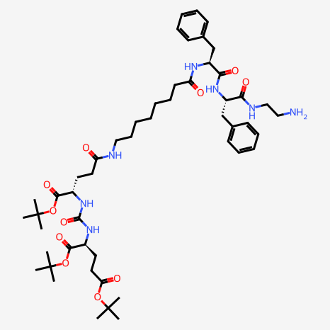 CC(C)(C)OC(=O)CC[C@H](NC(=O)N[C@@H](CCC(=O)NCCCCCCCC(=O)N[C@@H](Cc1ccccc1)C(=O)N[C@@H](Cc1ccccc1)C(=O)NCCN)C(=O)OC(C)(C)C)C(=O)OC(C)(C)C